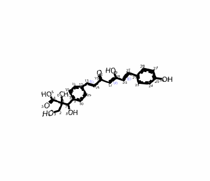 CC(CO)(C(=O)O)C(O)c1ccc(/C=C/C(=O)/C=C(O)/C=C/c2ccc(O)cc2)cc1